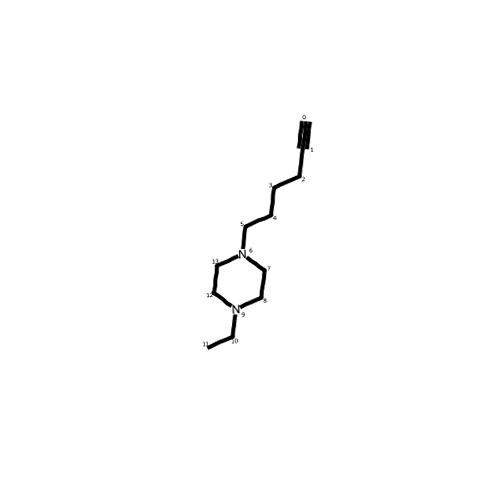 C#CCCCCN1CCN(CC)CC1